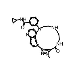 Cn1nc2cc1C(=O)NCCCNCCN(c1cccc(C(=O)NC3CC3)c1)c1ccnc3ccc-2cc13